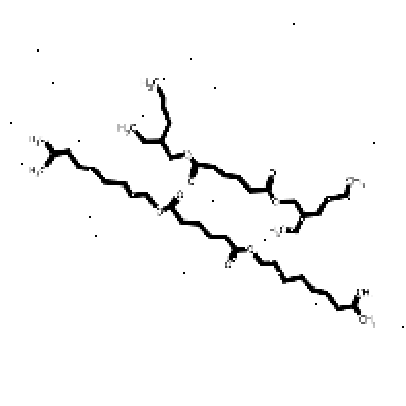 CC(C)CCCCCCCOC(=O)CCCCC(=O)OCCCCCCCC(C)C.CCCCC(CC)COC(=O)CCCCC(=O)OCC(CC)CCCC